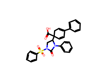 O=C1N(c2ccccc2)C(C2(C(=O)O)C=CC(c3ccccc3)=CC2)CN1S(=O)(=O)c1ccccc1